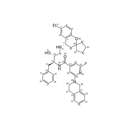 CCc1ccc2c(c1)[C@@H](NC[C@@H](O)[C@H](Cc1ccccc1)NC(=O)c1cc(C)nc(N3CCc4ccccc4C3)c1)CC1(CCCC1)O2